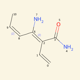 C=C/C(C(N)=O)=C(N)\C=C/C